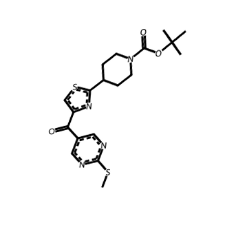 CSc1ncc(C(=O)c2csc(C3CCN(C(=O)OC(C)(C)C)CC3)n2)cn1